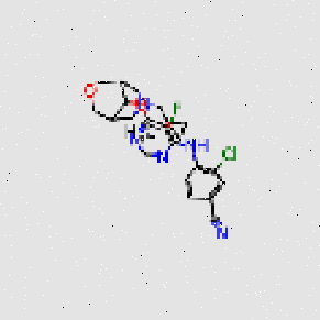 CC1(CN2CC3COCC(C2)C3Oc2ncnc(Nc3ccc(C#N)cc3Cl)c2F)CC1